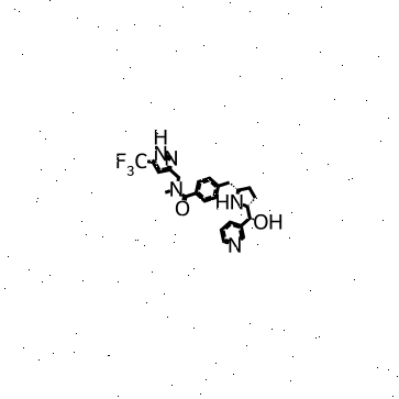 CN(Cc1cc(C(F)(F)F)[nH]n1)C(=O)c1ccc(C[C@@H]2CC[C@H]([C@H](O)c3cccnc3)N2)cc1